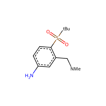 CNCc1cc(N)ccc1S(=O)(=O)C(C)(C)C